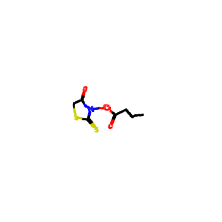 CCCC(=O)ON1C(=O)CSC1=S